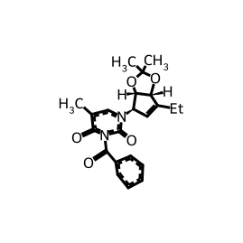 CCC1=C[C@@H](n2cc(C)c(=O)n(C(=O)c3ccccc3)c2=O)[C@@H]2OC(C)(C)O[C@H]12